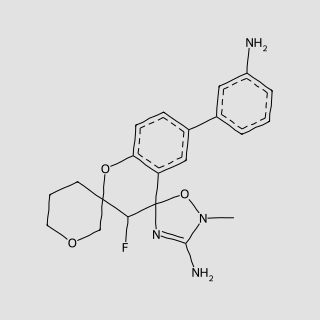 CN1OC2(N=C1N)c1cc(-c3cccc(N)c3)ccc1OC1(CCCOC1)C2F